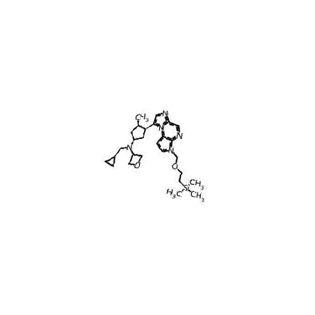 C[C@@H]1C[C@H](N(CC2CC2)C2COC2)C[C@@H]1c1cnc2cnc3c(ccn3COCC[Si](C)(C)C)n12